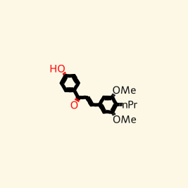 CCCc1c(OC)cc(C=CC(=O)c2ccc(O)cc2)cc1OC